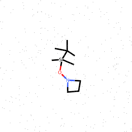 CC(C)(C)[Si](C)(C)ON1CCC1